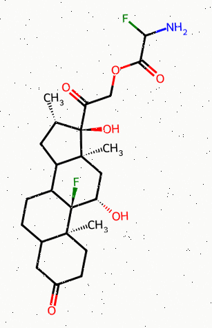 C[C@H]1CC2C3CCC4CC(=O)CC[C@]4(C)[C@@]3(F)[C@@H](O)C[C@]2(C)[C@@]1(O)C(=O)COC(=O)C(N)F